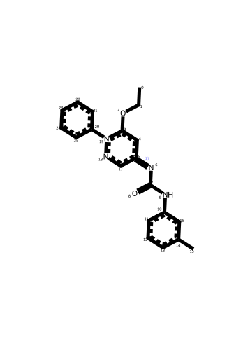 CCOc1c/c(=N/C(=O)Nc2cccc(C)c2)cnn1-c1ccccc1